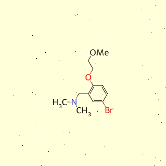 COCCOc1ccc(Br)cc1CN(C)C